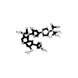 COc1cc2ncc3c(c2cc1-c1cnn(C)c1)n(-c1ncc(N2CCN(N(C(=O)O)C(C)(C)C)CC2)cc1F)c(=O)n3C